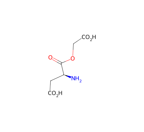 N[C@@H](CC(=O)O)C(=O)OCC(=O)O